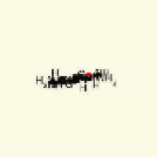 N=C(N)NC[C@H]1CC[C@H](NC(=O)c2ccc(C(=O)N[C@H]3CC[C@H](CNC(=N)N)CC3)cc2)CC1